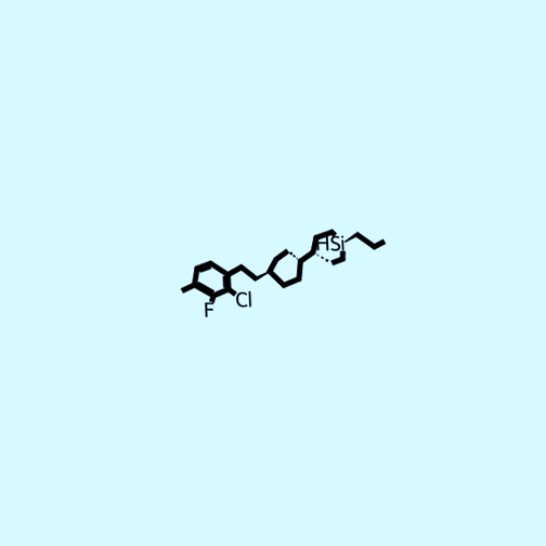 CCC[Si@H]1CC[C@H]([C@H]2CC[C@H](CCc3ccc(C)c(F)c3Cl)CC2)CC1